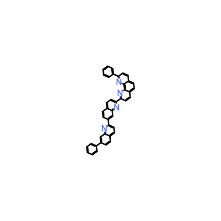 c1ccc(-c2ccc3ccc(-c4ccc5ccc(-c6ccc7ccc8ccc(-c9ccccc9)nc8c7n6)nc5c4)nc3c2)cc1